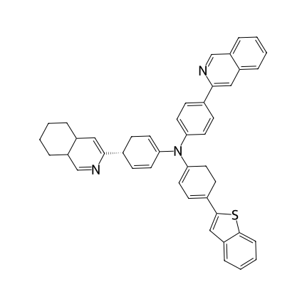 C1=C[C@H](C2=CC3CCCCC3C=N2)CC=C1N(C1=CC=C(c2cc3ccccc3s2)CC1)c1ccc(-c2cc3ccccc3cn2)cc1